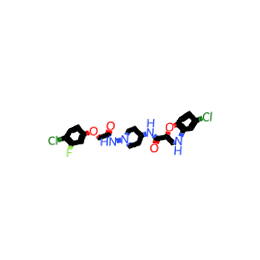 O=C(COc1ccc(Cl)c(F)c1)NN1CCC(NC(=O)C2CNc3cc(Cl)ccc3O2)CC1